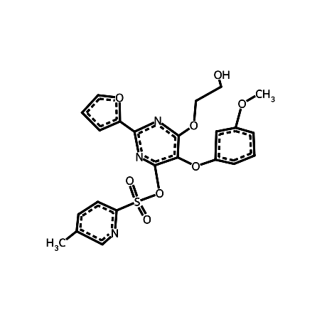 COc1cccc(Oc2c(OCCO)nc(-c3ccco3)nc2OS(=O)(=O)c2ccc(C)cn2)c1